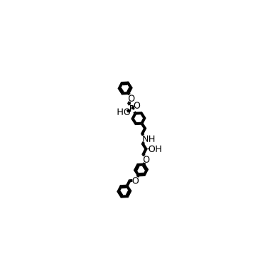 O=P(O)(COc1ccccc1)C1CCC(CCNC[C@H](O)COc2ccc(OCc3ccccc3)cc2)CC1